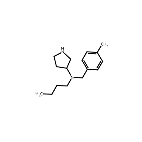 CCCCN(Cc1ccc(C)cc1)C1CCNC1